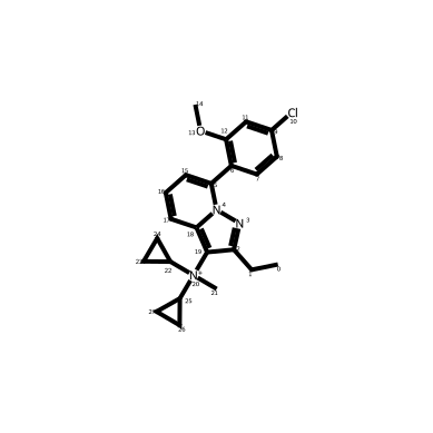 CCc1nn2c(-c3ccc(Cl)cc3OC)cccc2c1[N+](C)(C1CC1)C1CC1